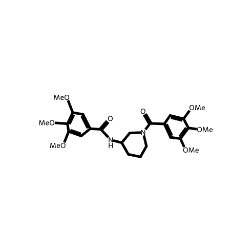 COc1cc(C(=O)NC2CCCN(C(=O)c3cc(OC)c(OC)c(OC)c3)C2)cc(OC)c1OC